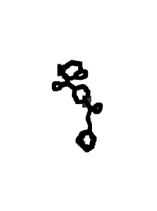 O=C(C1=NCCO1)C1CCN(C(=O)CCc2ccccc2)CC1